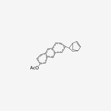 CC(=O)Oc1ccc2cc3ccc(C4CC5C=CC4C5)cc3cc2c1